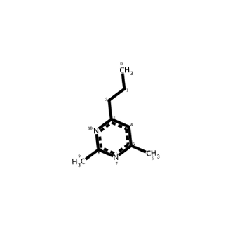 CCCc1cc(C)nc(C)n1